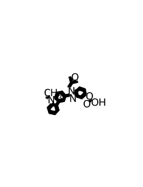 CCn1c2ccccc2c2cc(-c3nc4cc(OC(=O)O)ccc4n3CC3COC3)ccc21